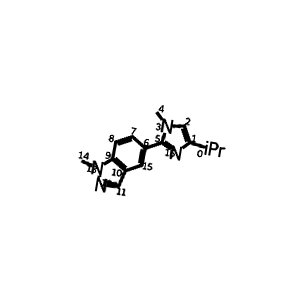 CC(C)c1cn(C)c(-c2ccc3c(cnn3C)c2)n1